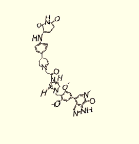 COc1cc(-c2cn(C)c(=O)c3[nH]ncc23)cc(OC)c1CN1C[C@H]2C[C@@H]1CN2C(=O)CN1CCC(c2ccc(NC3CCC(=O)NC3=O)cc2)CC1